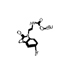 CC(C)(C)OC(=O)NCCn1c(=O)oc2cc(Br)ccc21